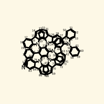 N#Cc1cccc(-c2c(-n3c4ccccc4c4ccccc43)c(-n3c4ccccc4c4ccccc43)c(-n3c4ccccc4c4c3ccc3c5ccccc5n(-c5ccccc5)c34)c(-n3c4ccccc4c4ccccc43)c2-n2c3ccccc3c3ccccc32)c1